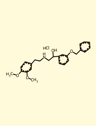 COc1ccc(CCNCC(O)c2cccc(OCc3ccccc3)c2)cc1OC.Cl